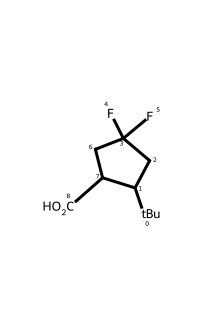 CC(C)(C)C1CC(F)(F)CC1C(=O)O